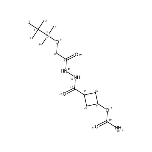 CC(C)(C)[Si](C)(C)OCC(=O)NNC(=O)C1CC(OC(N)=O)C1